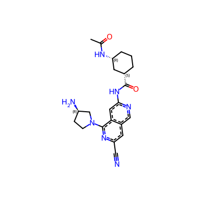 CC(=O)N[C@@H]1CCC[C@H](C(=O)Nc2cc3c(N4CC[C@@H](N)C4)nc(C#N)cc3cn2)C1